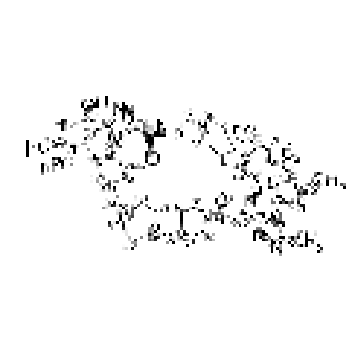 CCCc1cc(-c2nnc(C(=O)NCCN3CCCCC3)n2-c2ccc(CN3CCN(CC4CCN(C(=O)C[C@@H]5N=C(c6ccc(Cl)cc6)c6c(sc(C)c6C)-n6c(C)nnc65)CC4)CC3)cc2)c(O)cc1O